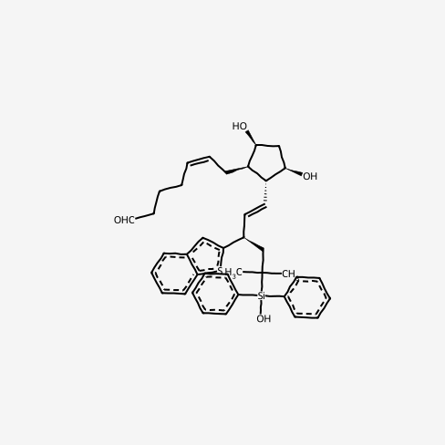 CC(C)(C[C@H](/C=C/[C@@H]1[C@@H](C/C=C\CCCC=O)[C@@H](O)C[C@H]1O)c1cc2ccccc2s1)[Si](O)(c1ccccc1)c1ccccc1